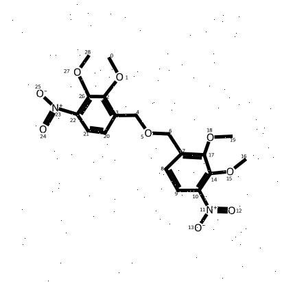 COc1c(COCc2ccc([N+](=O)[O-])c(OC)c2OC)ccc([N+](=O)[O-])c1OC